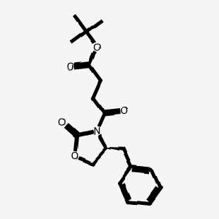 CC(C)(C)OC(=O)CCC(=O)N1C(=O)OC[C@@H]1Cc1ccccc1